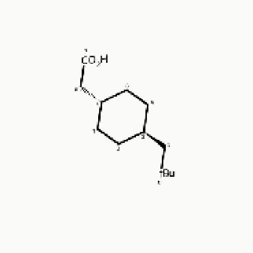 CC(C)(C)C[C@H]1CC[C@H](CC(=O)O)CC1